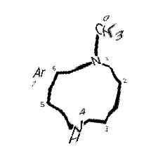 CN1CCNCC1.[Ar]